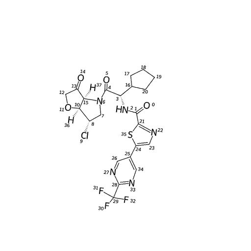 O=C(N[C@H](C(=O)N1C[C@H](Cl)[C@H]2OCC(=O)[C@H]21)C1CCCC1)c1ncc(-c2cnc(C(F)(F)F)nc2)s1